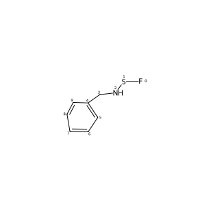 FSNCc1ccccc1